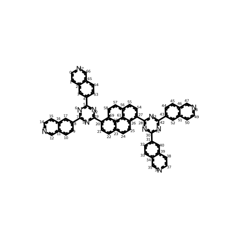 c1cc2cc(-c3nc(-c4ccc5cnccc5c4)nc(-c4ccc5ccc6c(-c7nc(-c8ccc9cnccc9c8)nc(-c8ccc9cnccc9c8)n7)ccc7ccc4c5c76)n3)ccc2cn1